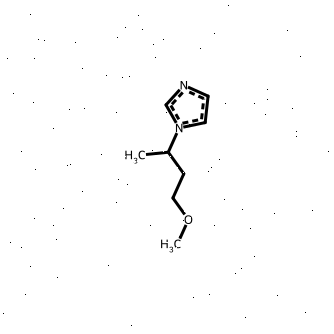 COCCC(C)n1ccnc1